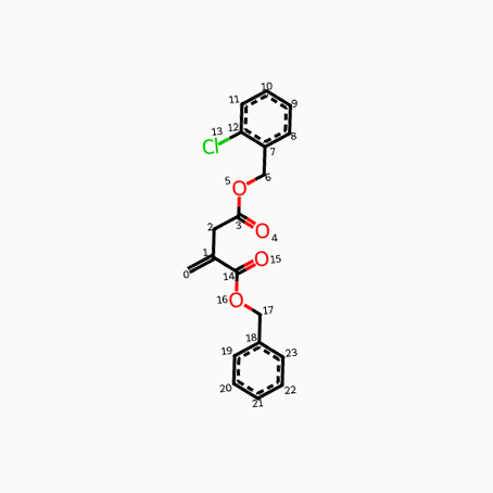 C=C(CC(=O)OCc1ccccc1Cl)C(=O)OCc1ccccc1